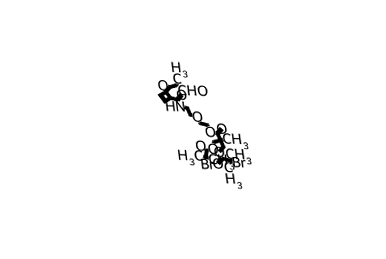 CC(C=O)C1OC12C=CC2C(=O)NCCOCCOC(=O)C(C)(COC(=O)C(C)(C)Br)COC(=O)C(C)(C)Br